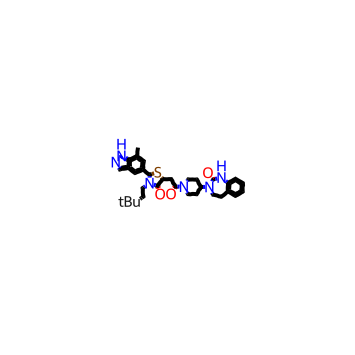 Cc1cc(C2SC(CC(=O)N3CCC(N4CCc5ccccc5NC4=O)CC3)C(=O)N2CCC(C)(C)C)cc2cn[nH]c12